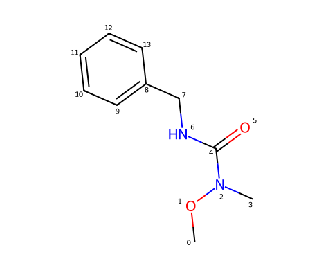 CON(C)C(=O)NCc1ccccc1